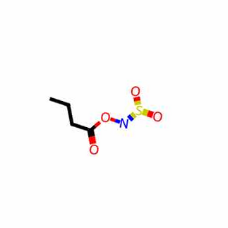 CCCC(=O)ON=S(=O)=O